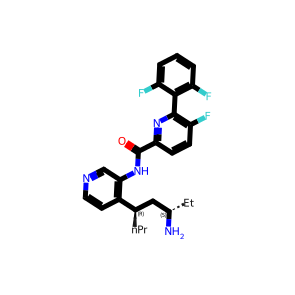 CCC[C@H](C[C@@H](N)CC)c1ccncc1NC(=O)c1ccc(F)c(-c2c(F)cccc2F)n1